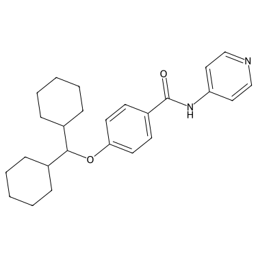 O=C(Nc1ccncc1)c1ccc(OC(C2CCCCC2)C2CCCCC2)cc1